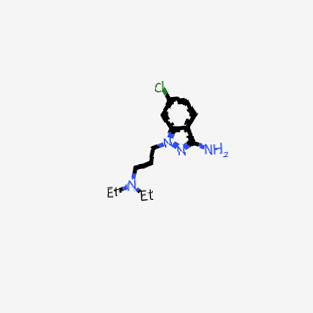 CCN(CC)CCCn1nc(N)c2ccc(Cl)cc21